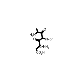 CCCCCCCCCC(C(=O)C(C)N)C(=O)[C@@H](N)CC(=O)O